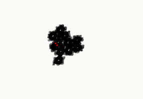 c1ccc(-c2ccc(N(c3ccc4c(c3)C(c3ccccc3)(c3ccccc3)c3ccccc3-4)c3ccc4c(c3)C3(c5ccccc5-c5ccccc53)c3ccccc3-4)c(-c3ccccc3)c2)cc1